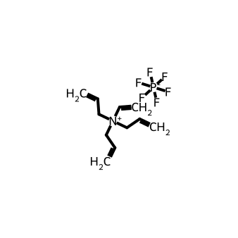 C=CC[N+](C=C)(CC=C)CC=C.F[P-](F)(F)(F)(F)F